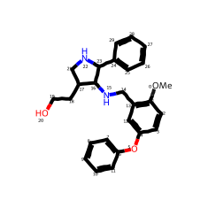 COc1ccc(Oc2ccccc2)cc1CNC1C(CCO)CNC1c1ccccc1